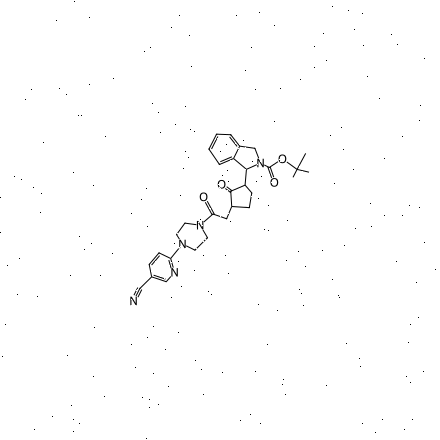 CC(C)(C)OC(=O)N1Cc2ccccc2C1C1CCC(CC(=O)N2CCN(c3ccc(C#N)cn3)CC2)C1=O